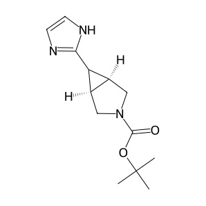 CC(C)(C)OC(=O)N1C[C@@H]2C(c3ncc[nH]3)[C@@H]2C1